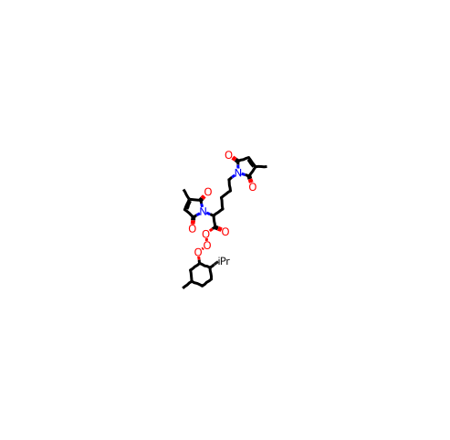 CC1=CC(=O)N(CCCCC(C(=O)OOOC2CC(C)CCC2C(C)C)N2C(=O)C=C(C)C2=O)C1=O